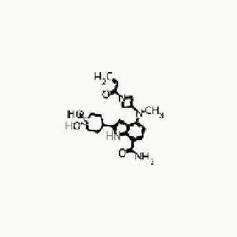 C=CC(=O)N1CC(N(C)c2ccc(C(N)=O)c3[nH]c(C4CCS(O)(O)CC4)cc23)C1